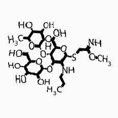 CCCNC1C(O[C@@H]2OC(CO)[C@H](O)C(O)C2O)[C@H](O[C@@H]2OC(C)[C@@H](O)C(O)C2O)C(CO)O[C@H]1SCC(=N)OC